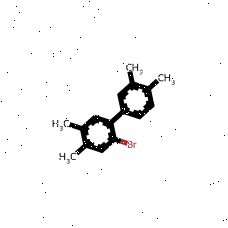 Cc1ccc(-c2cc(C)c(C)cc2Br)cc1C